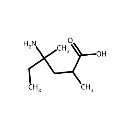 CCC(C)(N)CC(C)C(=O)O